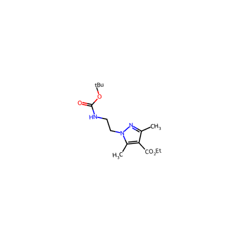 CCOC(=O)c1c(C)nn(CCNC(=O)OC(C)(C)C)c1C